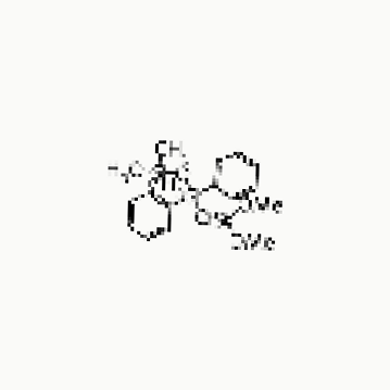 CO[SiH](OC)O[Si](O[Si](C)(C)C)(c1ccccc1)c1ccccc1